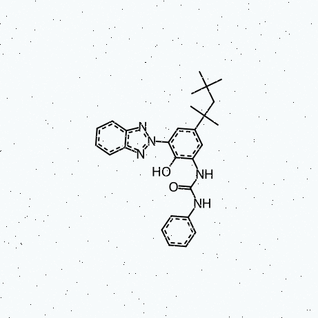 CC(C)(C)CC(C)(C)c1cc(NC(=O)Nc2ccccc2)c(O)c(-n2nc3ccccc3n2)c1